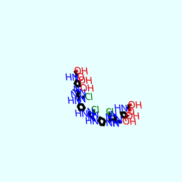 O=C(CO)N[C@H]1C[C@@H](n2cnc3c(N[C@H]4CC[C@H](Nc5nc(Cl)nc(N[C@H]6CC[C@H](Nc7nc(Cl)nc8c7ncn8[C@@H]7C[C@H](NC(=O)CO)[C@@H](O)[C@H]7O)CC6)n5)CC4)nc(Cl)nc32)[C@H](O)[C@@H]1O